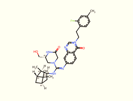 Cc1ccc(CCn2cnc3cc(N=C(N[C@H]4C[C@H]5C[C@H]([C@H]4C)C5(C)C)N4CC(=O)N[C@@H](CO)C4)ccc3c2=O)c(F)c1